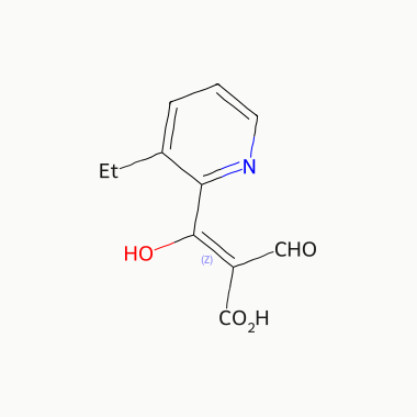 CCc1cccnc1/C(O)=C(\C=O)C(=O)O